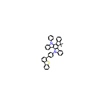 CC1(C)c2ccccc2-c2c1c1c3ccccc3n(-c3ccc(-c4cccc5c4sc4ccccc45)cc3)c1c1c3ccccc3n(-c3ccccc3)c21